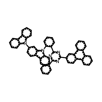 c1ccc(-c2nc(-c3ccc4c5ccccc5c5ccccc5c4c3)nc(-c3ccccc3-n3c4ccccc4c4ccc(-n5c6ccccc6c6ccccc65)cc43)n2)cc1